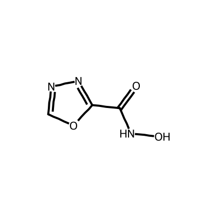 O=C(NO)c1nnco1